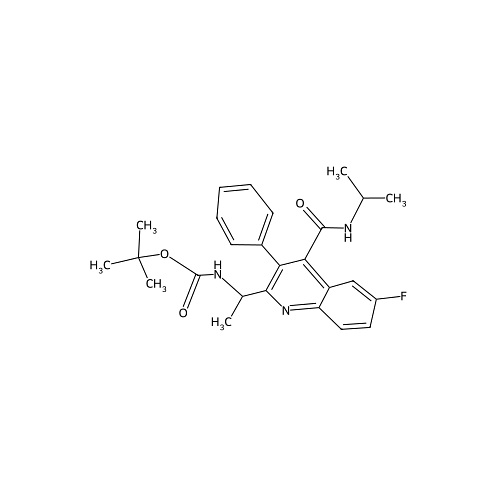 CC(C)NC(=O)c1c(-c2ccccc2)c(C(C)NC(=O)OC(C)(C)C)nc2ccc(F)cc12